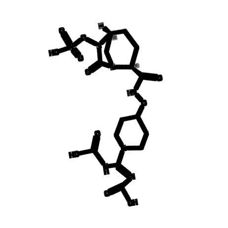 O=C(O)N=C(NC(=O)O)N1CCC(ONC(=O)[C@@H]2CC[C@@H]3CN2C(=O)N3OS(=O)(=O)O)CC1